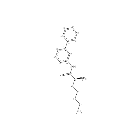 NCCCC[C@H](N)C(=O)Nc1cccc(-c2ccccc2)c1